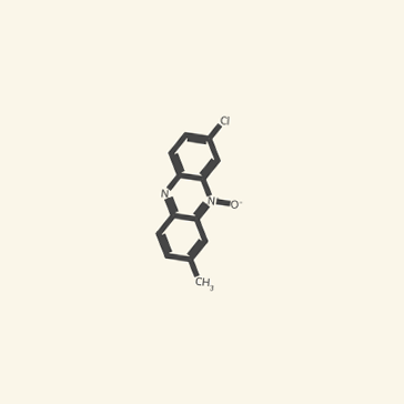 Cc1ccc2nc3ccc(Cl)cc3[n+]([O-])c2c1